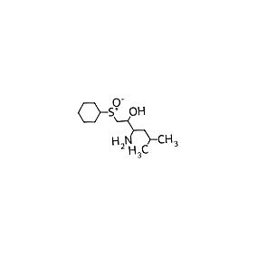 CC(C)CC(N)C(O)C[S+]([O-])C1CCCCC1